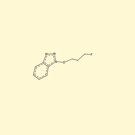 FCCCOn1nnc2ccccc21